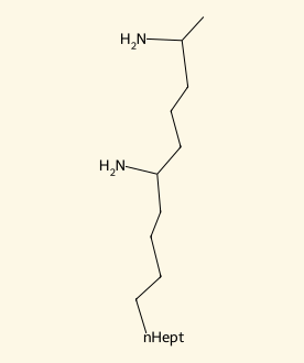 CCCCCCCCCCCC(N)CCCC(C)N